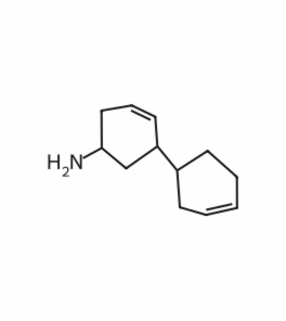 NC1CC=CC(C2CC=CCC2)C1